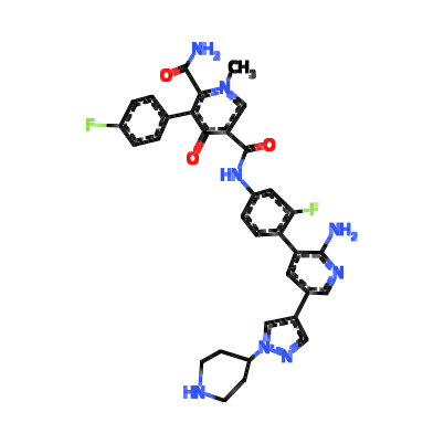 Cn1cc(C(=O)Nc2ccc(-c3cc(-c4cnn(C5CCNCC5)c4)cnc3N)c(F)c2)c(=O)c(-c2ccc(F)cc2)c1C(N)=O